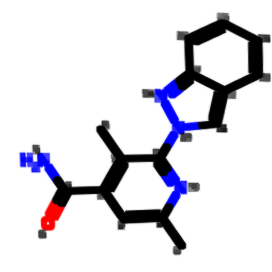 Cc1cc(C(N)=O)c(C)c(-n2cc3ccccc3n2)n1